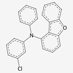 Clc1cccc(N(c2ccccc2)c2cccc3oc4ccccc4c23)c1